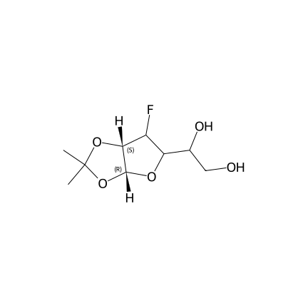 CC1(C)O[C@H]2OC(C(O)CO)C(F)[C@H]2O1